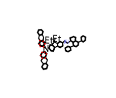 CCC1(CC)c2cc(/C=C/c3cccc4c(-c5ccccc5)ccc(-c5ccccc5)c34)ccc2-c2ccc(N(C3=CC4C5c6ccccc6C(c6ccccc65)C4C=C3)c3ccc4c(c3)C3c5ccccc5C4c4ccccc43)cc21